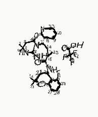 CC1(C)CC(=O)N([C@H](c2cccnc2)[C@@H]2C[C@H]2C(=O)NC2CC(C)(C)Oc3cccc(F)c32)C(=N)N1.O=C(O)C(F)(F)F